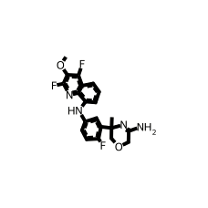 COc1c(F)nc2c(Nc3ccc(F)c(C4(C)COCC(N)=N4)c3)cccc2c1F